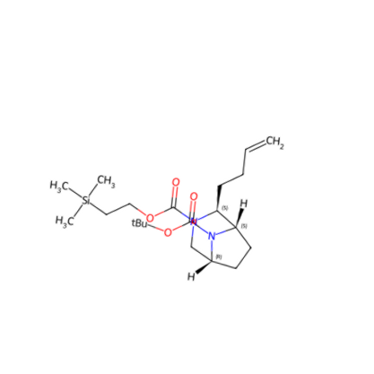 C=CCC[C@H]1[C@@H]2CC[C@H](CN1C(=O)OCC[Si](C)(C)C)N2C(=O)OC(C)(C)C